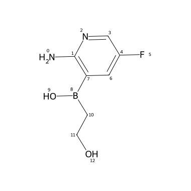 Nc1ncc(F)cc1B(O)CCO